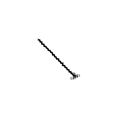 CCO[Si](CCCCCCCCCCCCCCCCCCCCCCCCCCCCCCCCCCI)(OCC)OCC